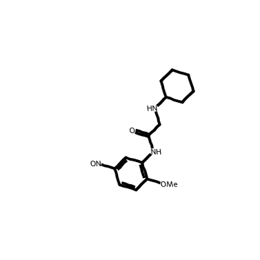 COc1ccc(N=O)cc1NC(=O)CNC1CCCCC1